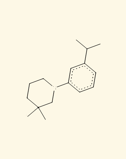 CC(C)c1cccc(N2CCCC(C)(C)C2)c1